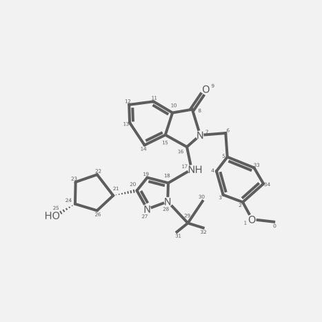 COc1ccc(CN2C(=O)c3ccccc3C2Nc2cc([C@H]3CC[C@@H](O)C3)nn2C(C)(C)C)cc1